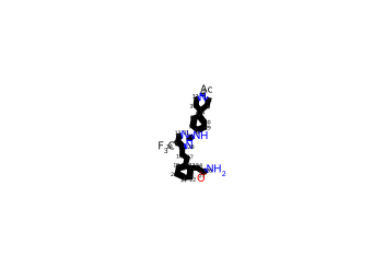 CC(=O)N1CCC(c2ccc(Nc3ncc(C(F)(F)F)c(CCc4ccccc4CC(N)=O)n3)cc2)CC1